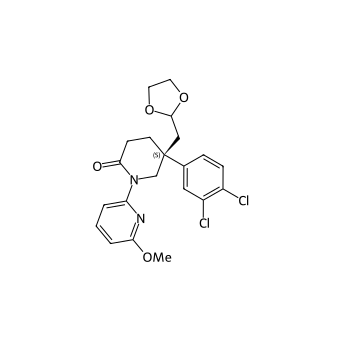 COc1cccc(N2C[C@@](CC3OCCO3)(c3ccc(Cl)c(Cl)c3)CCC2=O)n1